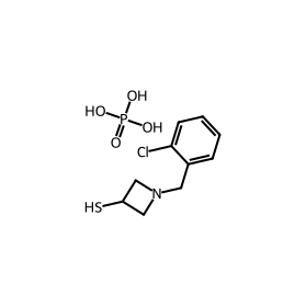 O=P(O)(O)O.SC1CN(Cc2ccccc2Cl)C1